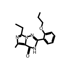 CCCOc1ccccc1-c1nn2c(CC)nc(C)c2c(=O)[nH]1